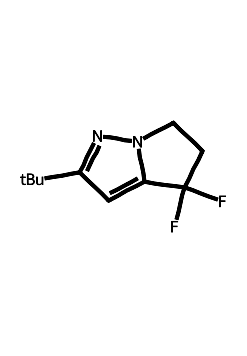 CC(C)(C)c1cc2n(n1)CCC2(F)F